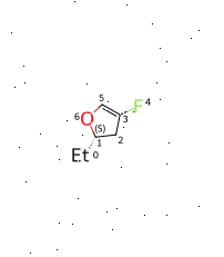 CC[C@H]1CC(F)=CO1